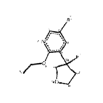 CCOc1ncc(Br)cc1C1(F)CCOC1